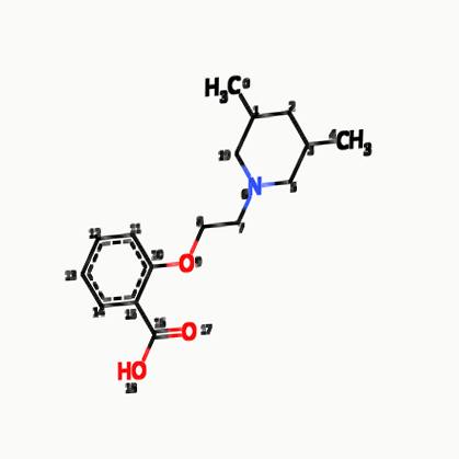 CC1CC(C)CN(CCOc2ccccc2C(=O)O)C1